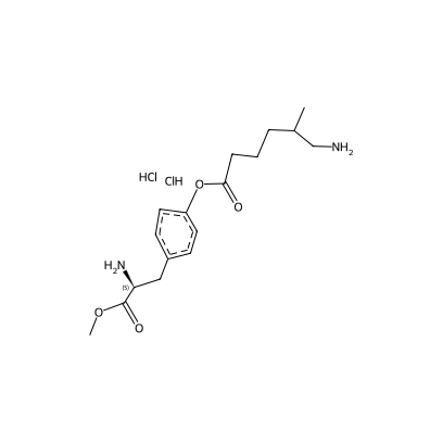 COC(=O)[C@@H](N)Cc1ccc(OC(=O)CCCC(C)CN)cc1.Cl.Cl